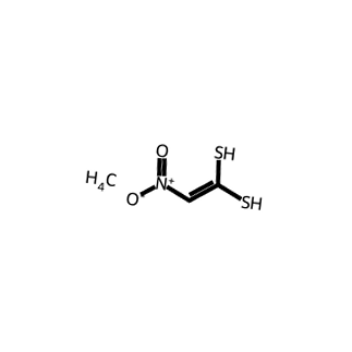 C.O=[N+]([O-])C=C(S)S